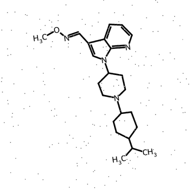 CO/N=C/c1cn(C2CCN(C3CCC(C(C)C)CC3)CC2)c2ncccc12